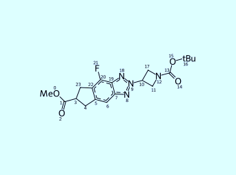 COC(=O)C1Cc2cc3nn(C4CN(C(=O)OC(C)(C)C)C4)nc3c(F)c2C1